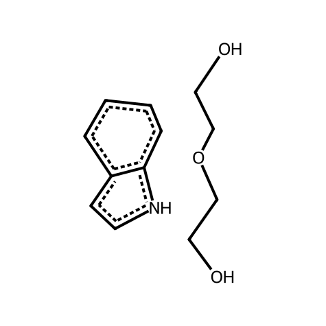 OCCOCCO.c1ccc2[nH]ccc2c1